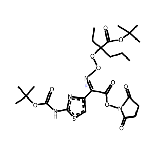 CCCC(CC)(OO/N=C(\C(=O)ON1C(=O)CCC1=O)c1csc(NC(=O)OC(C)(C)C)n1)C(=O)OC(C)(C)C